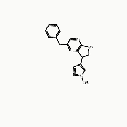 Cn1cc(C2CNc3ncc(Cc4ccccc4)cc32)cn1